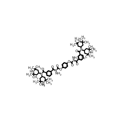 CC1(C)CC(N(C(=O)c2cccc(C(=O)N(N)C(=O)Oc3ccc(OC(=O)N(N)C(=O)c4cccc(C(=O)N(C5CC(C)(C)NC(C)(C)C5)C5CC(C)(C)NC(C)(C)C5)c4)cc3)c2)C2CC(C)(C)NC(C)(C)C2)CC(C)(C)N1